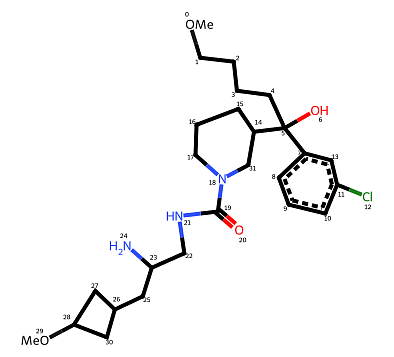 COCCCCC(O)(c1cccc(Cl)c1)C1CCCN(C(=O)NCC(N)CC2CC(OC)C2)C1